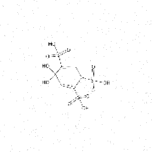 O=S(=O)(O)C1=CC(O)(O)C(S(=O)(=O)O)=CC1S(=O)(=O)O